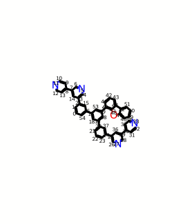 c1cc(-c2cncc(-c3ccncc3)c2)cc(-c2cc(-c3cccc(-c4cncc(-c5ccncc5)c4)c3)cc(-c3cccc4c3oc3ccccc34)c2)c1